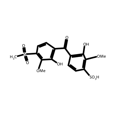 COc1c(S(C)(=O)=O)ccc(C(=O)c2ccc(S(=O)(=O)O)c(OC)c2O)c1O